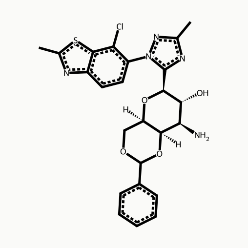 Cc1nc([C@@H]2O[C@@H]3COC(c4ccccc4)O[C@@H]3[C@H](N)[C@H]2O)n(-c2ccc3nc(C)sc3c2Cl)n1